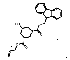 C=CCOC(=O)[C@@H]1CC(O)CN(C(=O)OCC2c3ccccc3-c3ccccc32)C1